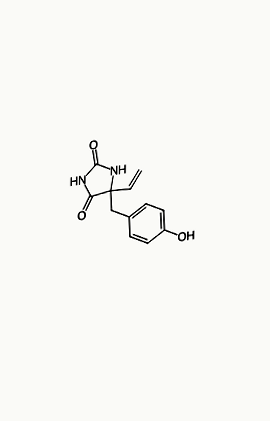 C=CC1(Cc2ccc(O)cc2)NC(=O)NC1=O